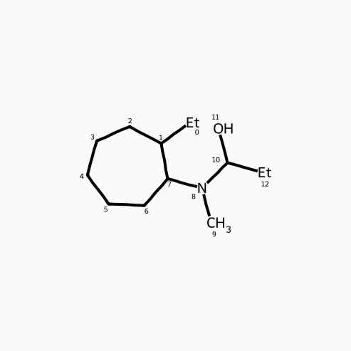 CCC1CCCCCC1N(C)C(O)CC